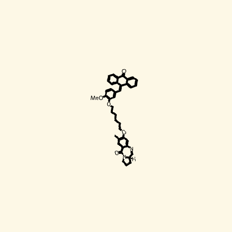 COc1ccc(C=C2c3ccccc3C(=O)c3ccccc32)cc1OCCCCCCOc1cc2c(cc1C)C(=O)N1CCC[C@H]1C=N2